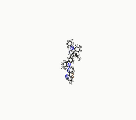 C=C(/C=C\c1c(C)c2ccccc2n1-c1ccccc1)c1ccc2c(c1)c1ccccc1n2-c1ccc2sc3cccnc3c2n1